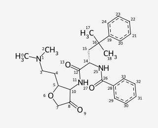 CN(C)CCC1OCC(=O)C1NC(=O)[C@H](CC(C)(C)c1ccccc1)NC(=O)c1ccccc1